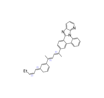 CC/C=C\C=C1C=C(/C(C)=C/C=C(\C)c2ccc3c(c2)c2ccccc2n2c4ncccc4nc32)C=CC\1